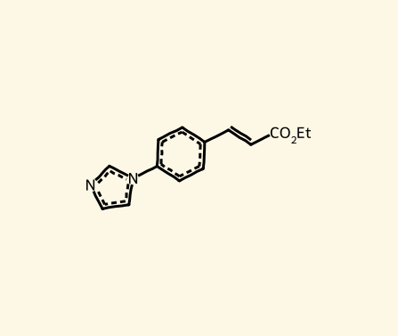 CCOC(=O)/C=C/c1ccc(-n2ccnc2)cc1